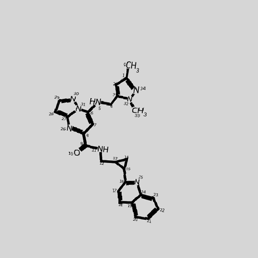 Cc1cc(CNc2cc(C(=O)NCC3CC3c3ccc4ccccc4n3)nc3ccnn23)n(C)n1